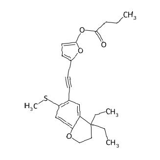 CCCC(=O)Oc1ccc(C#Cc2cc3c(cc2SC)OCCC3(CC)CC)o1